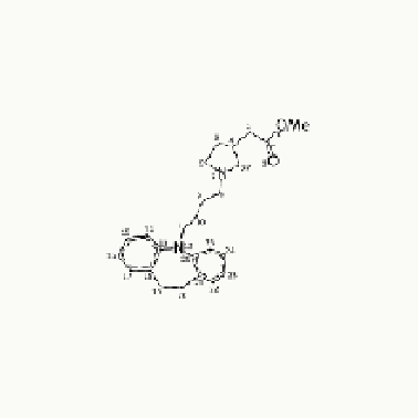 COC(=O)CC1CCN(CCCCN2c3ccccc3CCc3ccccc32)C1